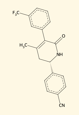 CC1=C(c2cccc(C(F)(F)F)c2)C(=O)N[C@H](c2ccc(C#N)cc2)C1